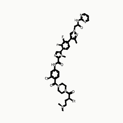 CCC(CCN(C)C)C(=O)N1CCN(C(=O)c2ccc(NC(=O)c3ncc(-c4ccc(-c5cn(CC(=O)Nc6ncccn6)nc5C)c(F)c4F)n3C)cc2Cl)CC1